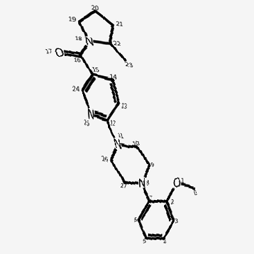 COc1ccccc1N1CCN(c2ccc(C(=O)N3CCCC3C)cn2)CC1